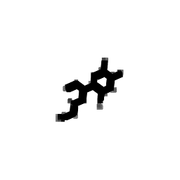 C=C/C(=C\N=C\C(C)C)c1cc(C)c(C)cc1F